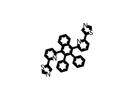 c1ccc(-c2c(-c3ccccc3)c(-c3cccc(-c4cncs4)n3)c3ccccc3c2-c2cccc(-c3cncs3)n2)cc1